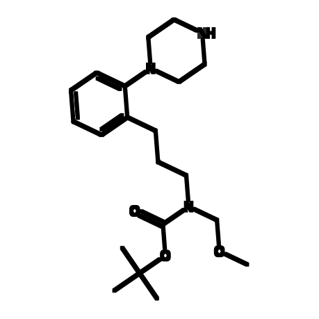 COCN(CCCc1ccccc1N1CCNCC1)C(=O)OC(C)(C)C